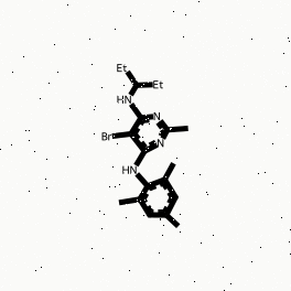 CCC(CC)Nc1nc(C)nc(Nc2c(C)cc(C)cc2C)c1Br